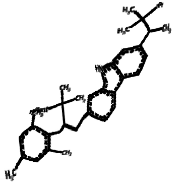 CCCCCC(C)(C)C(Cc1ccc2c(c1)[nH]c1cc(C(C)C(C)(C)CCC)ccc12)c1c(C)cc(C)cc1C